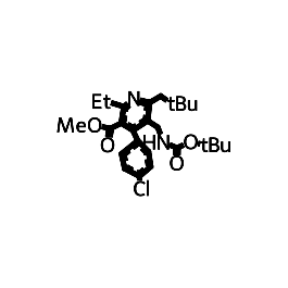 CCc1nc(CC(C)(C)C)c(CNC(=O)OC(C)(C)C)c(-c2ccc(Cl)cc2)c1C(=O)OC